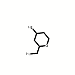 OCC1CC(S)CCO1